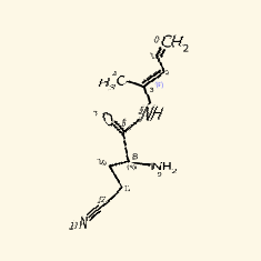 C=C/C=C(\C)NC(=O)[C@@H](N)CCC#N